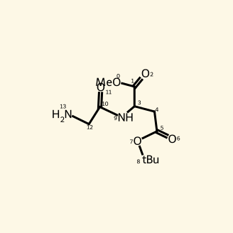 COC(=O)C(CC(=O)OC(C)(C)C)NC(=O)CN